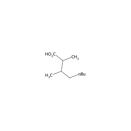 CCCCCC(C)C(C)C(=O)O